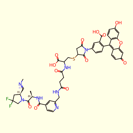 C/N=C/[C@@H]1CC(F)(F)CN1C(=O)[C@@H](C)NC(=O)c1ccnc(CNC(=O)CCC(=O)NC(CSC2CC(=O)N(c3ccc(-c4c5ccc(=O)cc-5oc5cc(O)ccc45)c(C(=O)O)c3)C2=O)C(=O)O)c1